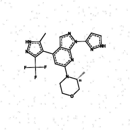 Cc1[nH]nc(C(F)(F)F)c1-c1cc(N2CCOC[C@H]2C)nc2c1cnn2-c1cc[nH]n1